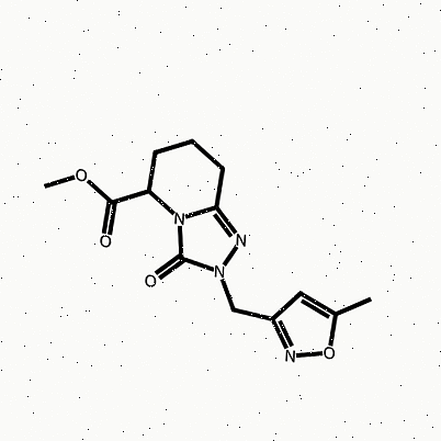 COC(=O)C1CCCc2nn(Cc3cc(C)on3)c(=O)n21